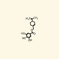 C=C(C)C1CC=C(COC(=O)c2cc(O)c(O)c(O)c2)CC1